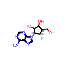 Nc1ncnc2c1ncn2[C@H]1C(O)C(O)[C@@H](CO)[C@@H]1F